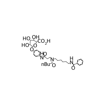 CCCCC(=O)N(CCCCCCNC(=O)c1ccccc1)CCC(=O)Nc1ccc(OC2OC(C(=O)O)C(O)C(O)C2O)cc1